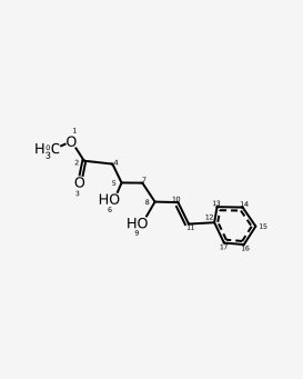 COC(=O)CC(O)CC(O)C=Cc1ccccc1